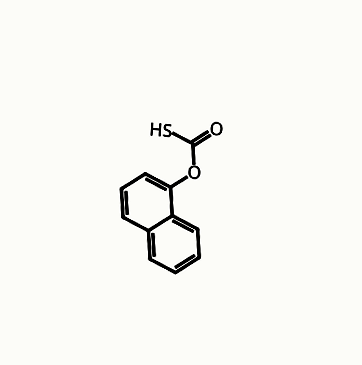 O=C(S)Oc1cccc2ccccc12